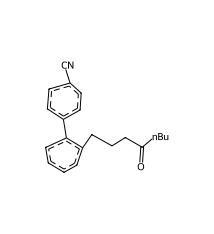 CCCCC(=O)CCCc1ccccc1-c1ccc(C#N)cc1